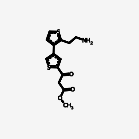 COC(=O)CC(=O)c1cc(-c2ccsc2CCN)cs1